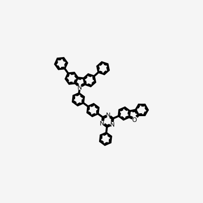 c1ccc(-c2ccc3c(c2)c2cc(-c4ccccc4)ccc2n3-c2cccc(-c3ccc(-c4nc(-c5ccccc5)nc(-c5ccc6c(c5)oc5ccccc56)n4)cc3)c2)cc1